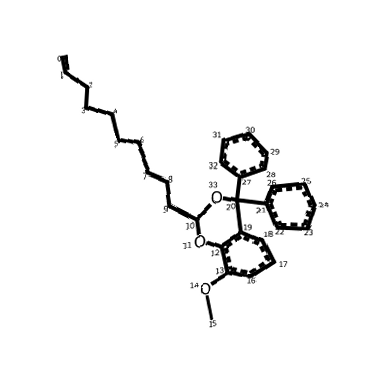 C=CCCCCCCCCC1Oc2c(OC)cccc2C(c2ccccc2)(c2ccccc2)O1